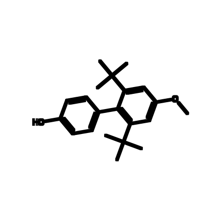 COc1cc(C(C)(C)C)c(-c2ccc(O)cc2)c(C(C)(C)C)c1